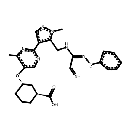 Cc1nc(-c2cnn(C)c2CN/C(C=N)=N/Nc2ccccc2)ncc1O[C@H]1CCC[C@H](C(=O)O)C1